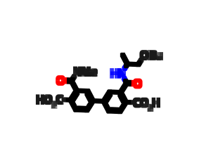 CNC(=O)c1cc(-c2ccc(C(=O)O)c(C(=O)NC(C)COCC(C)C)c2)ccc1C(=O)O